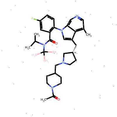 BC(B)(B)N(C(=O)c1cc(F)ccc1-n1cc(C[C@@H]2CCN(CC3CCN(C(C)=O)CC3)C2)c2c(C)cncc21)C(C)C